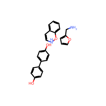 C1=Cc2ccccc2ON1.NCc1ccco1.Oc1ccc(-c2ccc(O)cc2)cc1